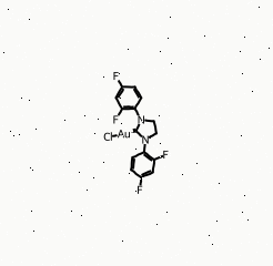 Fc1ccc(N2CCN(c3ccc(F)cc3F)[C]2=[Au-][Cl])c(F)c1